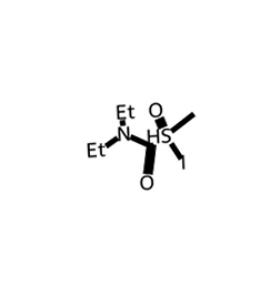 CCN(CC)C(=O)[SH](C)(=O)I